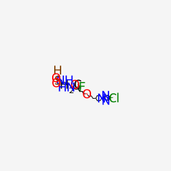 C=C(F)/C(=C\C=C\OCCCC1CCN(c2ncc(Cl)cn2)CC1)CC(=O)NCCCCN[SH](=O)=O